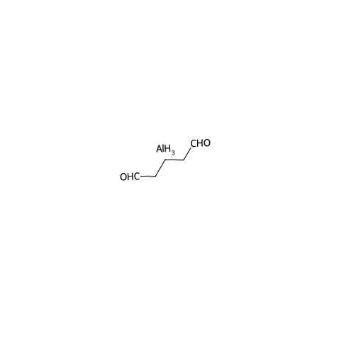 O=CCCCC=O.[AlH3]